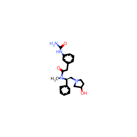 CN(C(=O)Cc1cccc(NC(N)=O)c1)[C@@H](CN1CCC(O)C1)c1ccccc1